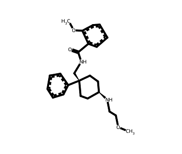 COCCN[C@H]1CC[C@](CNC(=O)c2ccccc2OC)(c2ccccc2)CC1